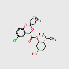 CCC1(CC)Oc2ccc(Cl)cc2[C@@H](C(=O)O[C@@H]2C[C@H](O)CC[C@H]2C(C)C)O1